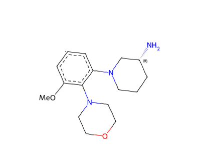 COc1c[c]cc(N2CCC[C@@H](N)C2)c1N1CCOCC1